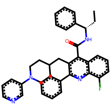 CC[C@H](NC(=O)c1c(CC2CCN(c3cccnc3)CC2)c(-c2ccccc2)nc2c(F)cccc12)c1ccccc1